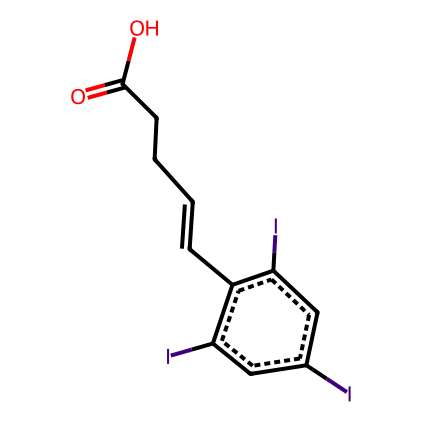 O=C(O)CCC=Cc1c(I)cc(I)cc1I